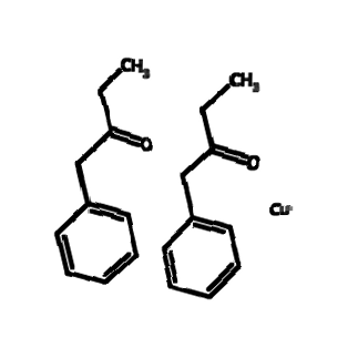 CCC(=O)Cc1ccccc1.CCC(=O)Cc1ccccc1.[Cu]